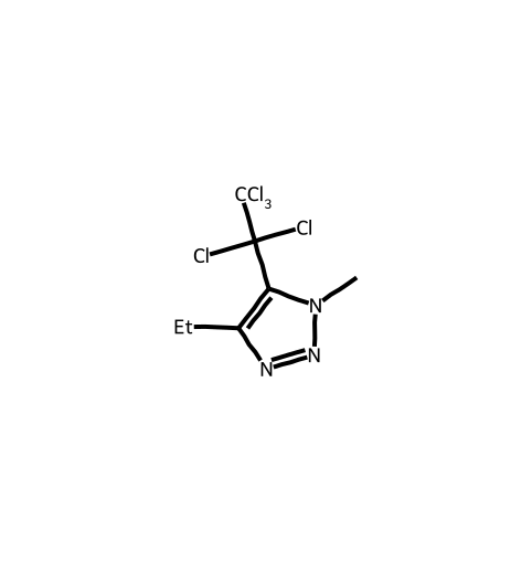 CCc1nnn(C)c1C(Cl)(Cl)C(Cl)(Cl)Cl